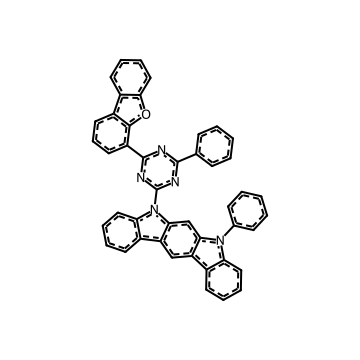 c1ccc(-c2nc(-c3cccc4c3oc3ccccc34)nc(-n3c4ccccc4c4cc5c6ccccc6n(-c6ccccc6)c5cc43)n2)cc1